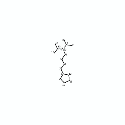 CC(C)N(CCCCC1CCCC1)C(C)C